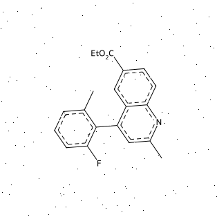 CCOC(=O)c1ccc2nc(C)cc(-c3c(C)cccc3F)c2c1